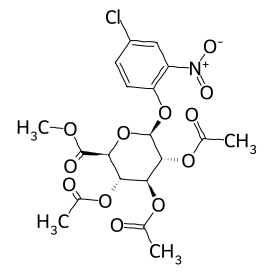 COC(=O)[C@H]1O[C@@H](Oc2ccc(Cl)cc2[N+](=O)[O-])[C@H](OC(C)=O)[C@@H](OC(C)=O)[C@@H]1OC(C)=O